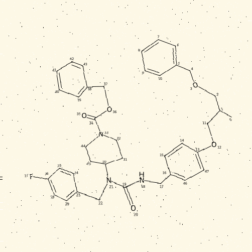 CC(COCc1ccccc1)COc1ccc(CNC(=O)N(Cc2ccc(F)cc2)C2CCN(C(=O)OCc3ccccc3)CC2)cc1